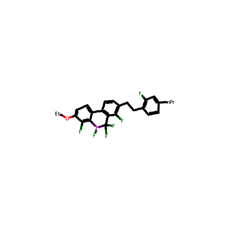 CCCc1ccc(CCc2ccc3c(c2F)C(F)(F)P(F)c2c-3ccc(OCC)c2F)c(F)c1